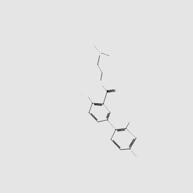 CN(C)CCSC(=O)c1cc(-c2ccc(F)cc2F)ccc1O